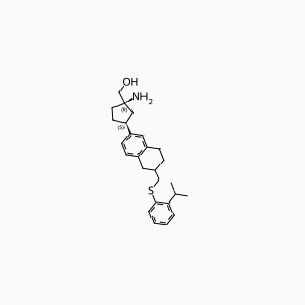 CC(C)c1ccccc1SCC1CCc2cc([C@H]3CC[C@](N)(CO)C3)ccc2C1